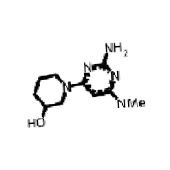 CNc1cc(N2CCCC(O)C2)nc(N)n1